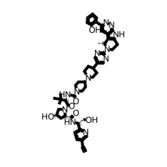 C#Cc1ccc([C@@H](CO)NC(=O)[C@@H]2C[C@@H](O)CN2C(=O)[C@@H](NC(=O)N2CCC(N3CCC(c4cnc(N5CCc6[nH]c7nnc(-c8ccccc8O)cc7c6[C@H]5C)nc4)CC3)CC2)C(C)(C)C)nc1